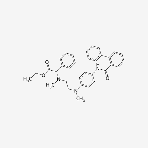 CCOC(=O)C(c1ccccc1)N(C)CCN(C)c1ccc(NC(=O)c2ccccc2-c2ccccc2)cc1